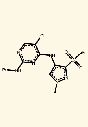 CC(C)Nc1ncc(Cl)c(Nc2cn(C)nc2S(=O)(=O)C(C)C)n1